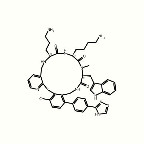 CN1C(=O)[C@H](CCCCN)NC(=O)[C@H](CCCN)NCc2cccnc2Sc2c(Cl)ccc(-c3ccc(-c4nnc[nH]4)cc3)c2CNC(=O)[C@@H]1Cc1c[nH]c2ccccc12